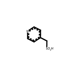 O=S(=O)(O)[CH]c1ccncc1